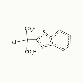 O=C(O)C(Cl)(C(=O)O)c1nc2ccccc2s1